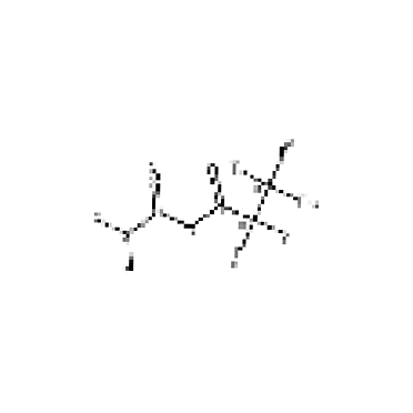 CC(C)C(=O)CC(=O)C(C)(F)C(F)(F)F